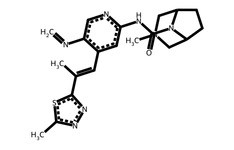 C=Nc1cnc(NC(=O)N2C3CCC2CN(C)C3)cc1/C=C(\C)c1nnc(C)s1